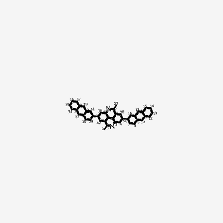 Cc1nc2cc(-c3ccc4cc5ccccc5cc4c3)cc3c(C)nc4cc(-c5ccc6cc7ccccc7cc6c5)cc1c4c23